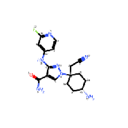 N#CC[C@]1(n2cc(C(N)=O)c(Nc3ccnc(F)c3)n2)CC[C@@H](N)CC1